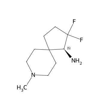 CN1CCC2(CC1)CCC(F)(F)[C@H]2N